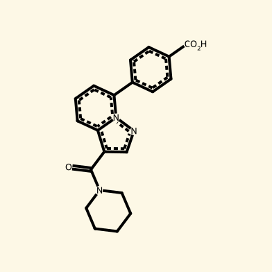 O=C(O)c1ccc(-c2cccc3c(C(=O)N4CCCCC4)cnn23)cc1